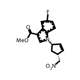 COC(=O)c1cn([C@H]2C=C[C@H](C[N+](=O)[O-])C2)c2ccc(F)cc12